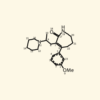 COc1cccc(C2=C(CC(C)N3CCCCC3)C(=O)NCCC2)c1